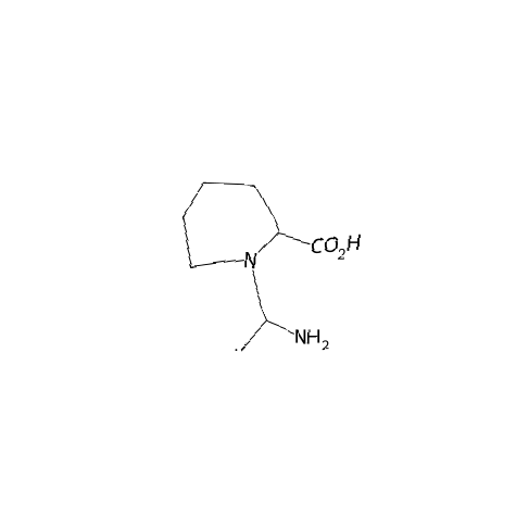 [CH2]C(N)N1CCCCC1C(=O)O